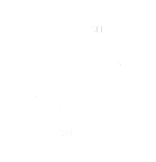 S=C(S)CCC(=S)S